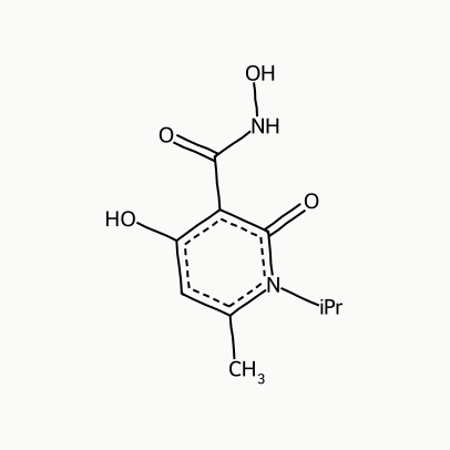 Cc1cc(O)c(C(=O)NO)c(=O)n1C(C)C